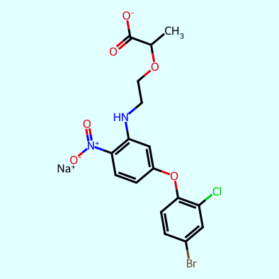 CC(OCCNc1cc(Oc2ccc(Br)cc2Cl)ccc1[N+](=O)[O-])C(=O)[O-].[Na+]